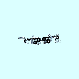 CC(=O)OC[C@@H]1CCC(=O)N1CCCNC(=O)/C=C/c1ccc(Sc2ccc(/C=C/C(=O)NCCCN3C(=O)CC[C@H]3COC(C)=O)c(-c3ccccc3Br)c2Cl)c(Cl)c1-c1ccccc1Br